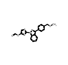 COCc1ccc(-c2nn(-c3nc(OC=O)cs3)c3ccccc23)cc1